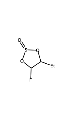 CCC1OS(=O)OC1F